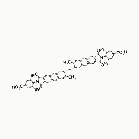 CC1=Cc2cc3cc4c(cc3cc2CC1CC[C@H]1Cc2cc3cc5c(cc3cc2C=C1C)C(=O)N(c1c(C(C)C)cc(C(=O)O)cc1C(C)C)C5=O)C(=O)N(c1c(C(C)C)cc(C(=O)O)cc1C(C)C)C4=O